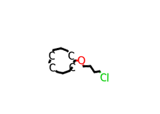 ClCCCCOC1CCCCCCCCCCC1